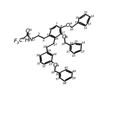 O=C(NCCc1ccc(OCc2ccccc2)c(OCc2ccccc2)c1CCc1cccc(OCc2ccccc2)c1)C(F)(F)F